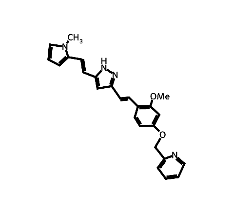 COc1cc(OCc2ccccn2)ccc1C=Cc1cc(/C=C/c2cccn2C)[nH]n1